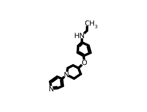 CCNc1ccc(OC2CCN(c3ccncc3)CC2)cc1